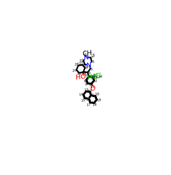 CN1CCN(CC(c2ccc(Oc3cccc4ccccc34)cc2)C2(O)CCCCC2)CC1.Cl.Cl